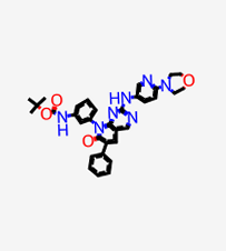 CC(C)(C)OC(=O)Nc1cccc(-n2c(=O)c(-c3ccccc3)cc3cnc(Nc4ccc(N5CCOCC5)nc4)nc32)c1